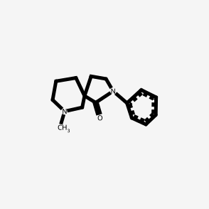 CN1CCCC2(CCN(c3ccccc3)C2=O)C1